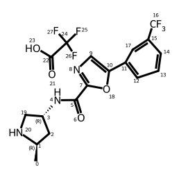 C[C@@H]1C[C@@H](NC(=O)c2ncc(-c3cccc(C(F)(F)F)c3)o2)CN1.O=C(O)C(F)(F)F